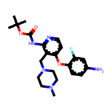 CN1CCN(Cc2c(Oc3ccc(N)cc3F)ccnc2NC(=O)OC(C)(C)C)CC1